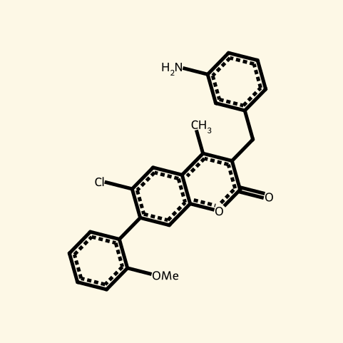 COc1ccccc1-c1cc2oc(=O)c(Cc3cccc(N)c3)c(C)c2cc1Cl